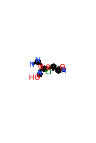 Cc1c(COc2cc(OCc3cncc(C#N)c3)c(CN3CCC(O)C3)cc2Cl)cccc1-c1cccc(C(=O)N(C)C)c1C